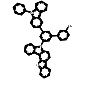 N#Cc1cccc(-c2cc(-c3ccc4c(c3)c3ccccc3n4-c3ccccc3)cc(-n3c4ccccc4c4c5oc6ccccc6c5ccc43)c2)c1